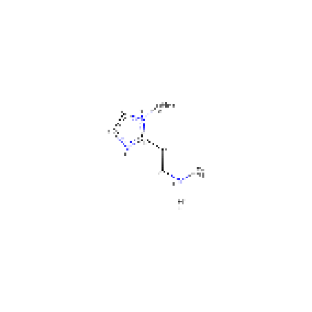 CCCCCCn1ccnc1CCN(CC)CC